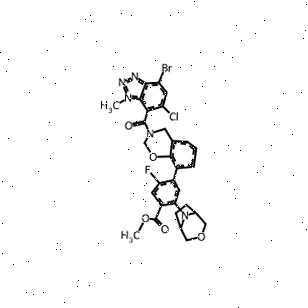 COC(=O)c1cc(F)c(-c2cccc3c2OCN(C(=O)c2c(Cl)cc(Br)c4nnn(C)c24)C3)cc1N1C2CCC1COC2